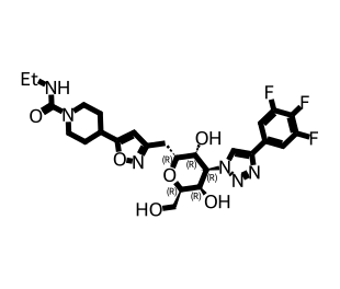 CCNC(=O)N1CCC(c2cc(C[C@H]3O[C@H](CO)[C@H](O)[C@H](n4cc(-c5cc(F)c(F)c(F)c5)nn4)[C@H]3O)no2)CC1